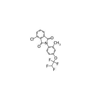 Cc1cc(OC(F)(F)C(F)F)ccc1N1C(=O)c2cccc(Cl)c2C1=O